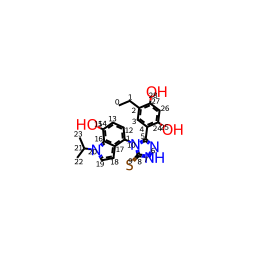 CCc1cc(-c2n[nH]c(=S)n2-c2ccc(O)c3c2ccn3C(C)C)c(O)cc1O